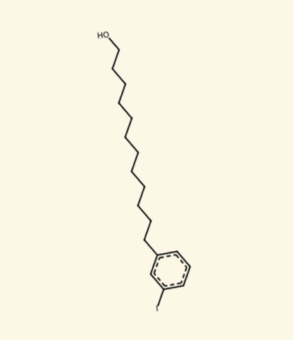 OCCCCCCCCCCCCc1cccc(I)c1